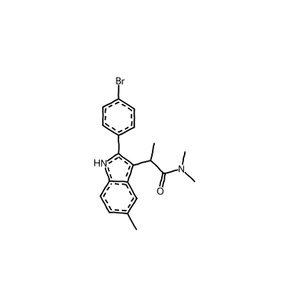 Cc1ccc2[nH]c(-c3ccc(Br)cc3)c(C(C)C(=O)N(C)C)c2c1